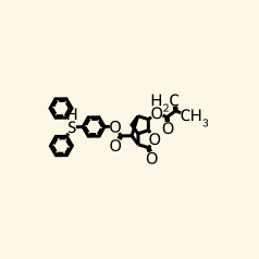 C=C(C)C(=O)OC1C2CC3C1OC(=O)C3C2C(=O)Oc1ccc([SH](c2ccccc2)c2ccccc2)cc1